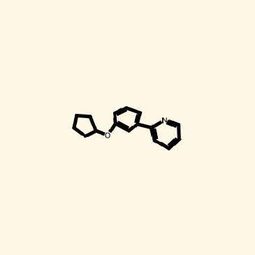 [c]1ccc(-c2cccc(OC3CCCC3)c2)nc1